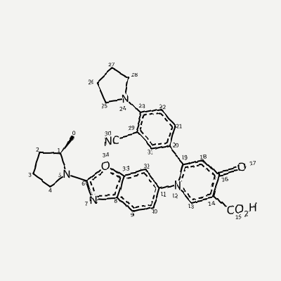 C[C@@H]1CCCN1c1nc2ccc(-n3cc(C(=O)O)c(=O)cc3-c3ccc(N4CCCC4)c(C#N)c3)cc2o1